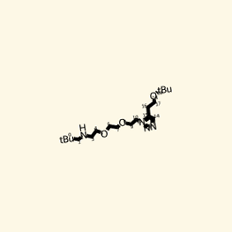 CC(C)(C)CNCCOCCOCCn1nncc1CCOC(C)(C)C